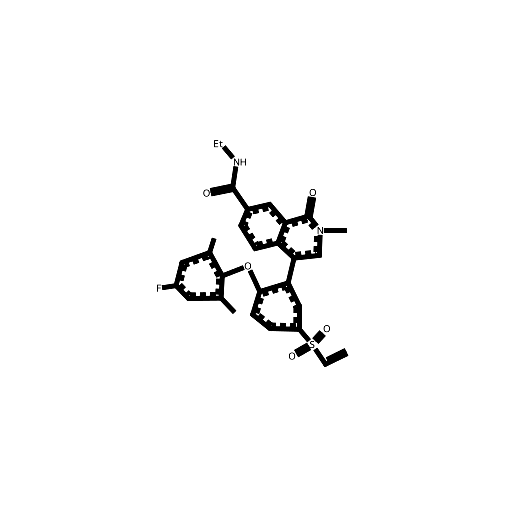 C=CS(=O)(=O)c1ccc(Oc2c(C)cc(F)cc2C)c(-c2cn(C)c(=O)c3cc(C(=O)NCC)ccc23)c1